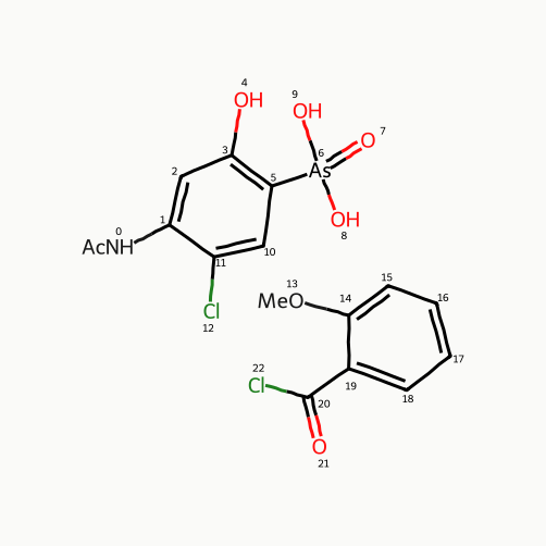 CC(=O)Nc1cc(O)c([As](=O)(O)O)cc1Cl.COc1ccccc1C(=O)Cl